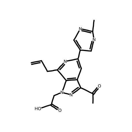 C=CCc1nc(-c2cnc(C)nc2)cc2c(C(C)=O)nn(CC(=O)O)c12